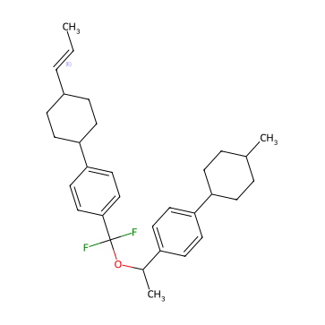 C/C=C/C1CCC(c2ccc(C(F)(F)OC(C)c3ccc(C4CCC(C)CC4)cc3)cc2)CC1